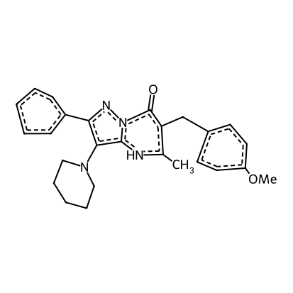 COc1ccc(Cc2c(C)[nH]c3c(N4CCCCC4)c(-c4ccccc4)nn3c2=O)cc1